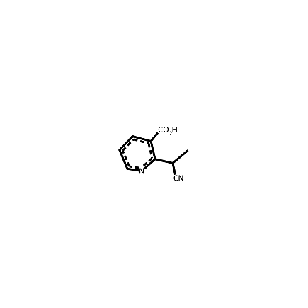 CC(C#N)c1ncccc1C(=O)O